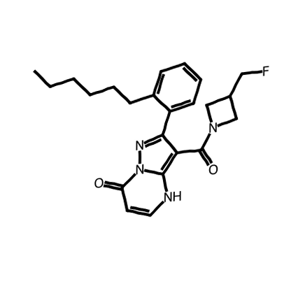 CCCCCCc1ccccc1-c1nn2c(=O)cc[nH]c2c1C(=O)N1CC(CF)C1